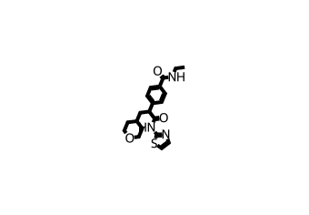 CCNC(=O)c1ccc(C(CC2CCOCC2)C(=O)Nc2nccs2)cc1